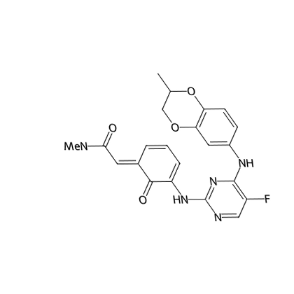 CNC(=O)C=C1C=CC=C(Nc2ncc(F)c(Nc3ccc4c(c3)OCC(C)O4)n2)C1=O